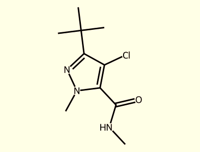 CNC(=O)c1c(Cl)c(C(C)(C)C)nn1C